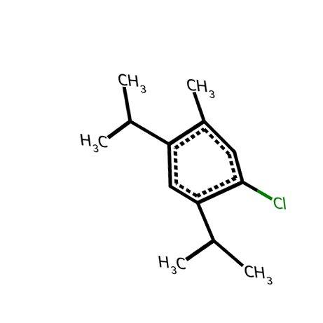 Cc1cc(Cl)c(C(C)C)cc1C(C)C